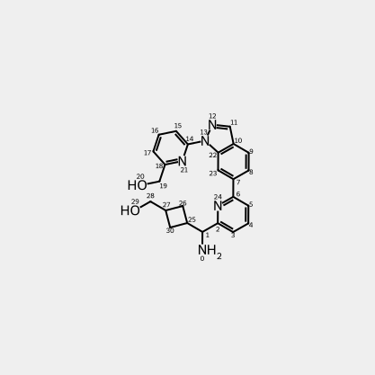 NC(c1cccc(-c2ccc3cnn(-c4cccc(CO)n4)c3c2)n1)C1CC(CO)C1